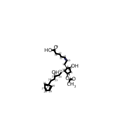 CC(=O)O[C@@H]1C[C@H](O)[C@H](C/C=C\CCCC(=O)O)[C@H]1CC[C@@H](O)CCc1ccccc1